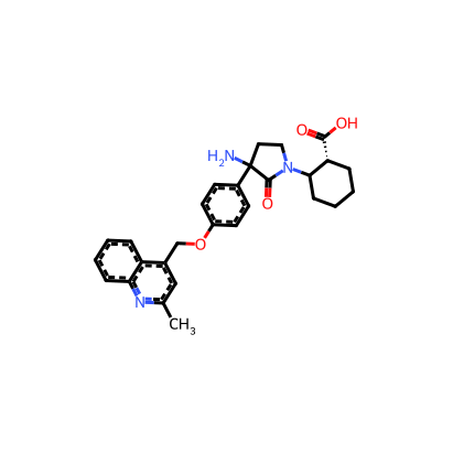 Cc1cc(COc2ccc(C3(N)CCN(C4CCCC[C@H]4C(=O)O)C3=O)cc2)c2ccccc2n1